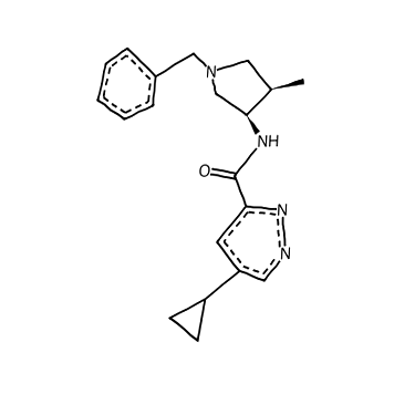 C[C@@H]1CN(Cc2ccccc2)C[C@@H]1NC(=O)c1cc(C2CC2)cnn1